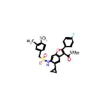 CNC(=O)c1c(-c2ccc(F)cc2)oc2cc(NS(=O)(=O)Cc3ccc([N+](=O)[O-])c(C)c3)c(C3CC3)cc12